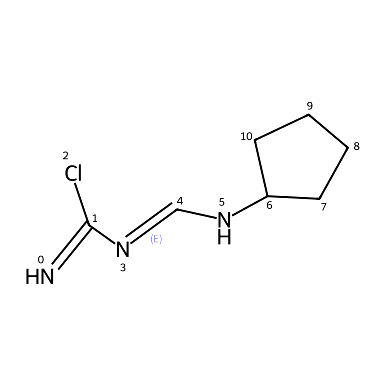 N=C(Cl)/N=C/NC1CCCC1